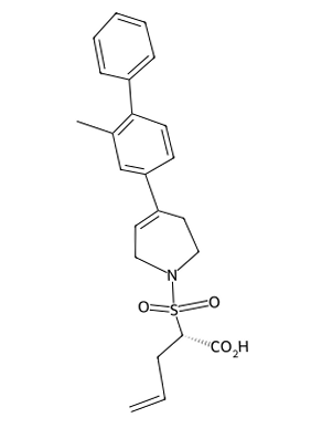 C=CC[C@@H](C(=O)O)S(=O)(=O)N1CC=C(c2ccc(-c3ccccc3)c(C)c2)CC1